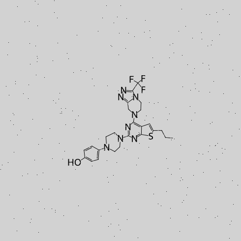 CCCc1cc2c(N3CCn4c(nnc4C(F)(F)F)C3)nc(N3CCN(c4ccc(O)cc4)CC3)nc2s1